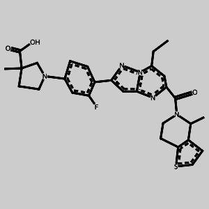 CCc1cc(C(=O)N2CCc3sccc3C2C)nc2cc(-c3ccc(N4CCC(C)(C(=O)O)C4)cc3F)nn12